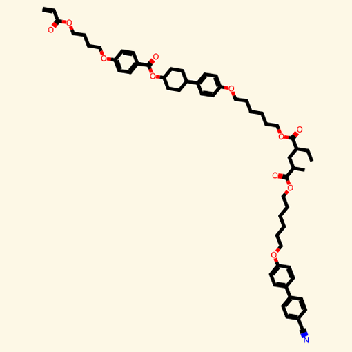 C=CC(=O)OCCCCOc1ccc(C(=O)OC2CCC(c3ccc(OCCCCCCOC(=O)C(CC)CC(C)C(=O)OCCCCCCOc4ccc(-c5ccc(C#N)cc5)cc4)cc3)CC2)cc1